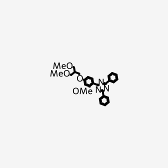 COCC(COC)COc1ccc(-c2nc(-c3ccccc3)nc(-c3ccccc3)n2)c(OC)c1